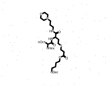 CCCCCCCCCCCCCCOC(=O)CCSCCC(NC(=O)C(CCCCCC)CCCCCCCC)C(=O)NCCCN1CCOCC1